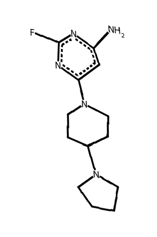 Nc1cc(N2CCC(N3CCCC3)CC2)nc(F)n1